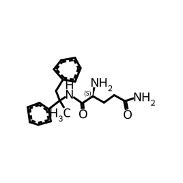 CC(Cc1ccccc1)(NC(=O)[C@@H](N)CCC(N)=O)c1ccccc1